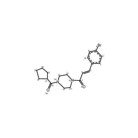 O=C(C=Cc1ccc(Br)cc1)N1CCN(C(=O)C2CCCC2)CC1